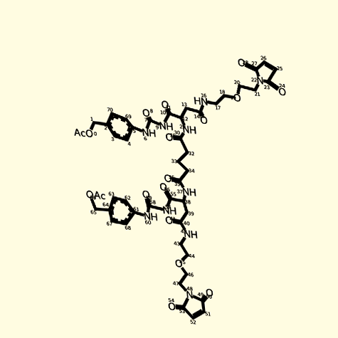 CC(=O)OCc1ccc(NC(=O)NC(=O)C(CC(=O)NCCOCCN2C(=O)C=CC2=O)NC(=O)CCCC(=O)NC(CC(=O)NCCOCCN2C(=O)C=CC2=O)C(=O)NC(=O)Nc2ccc(COC(C)=O)cc2)cc1